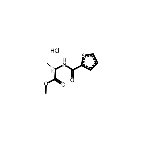 COC(=O)[C@H](C)NC(=O)c1cccs1.Cl